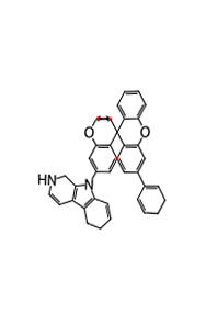 C1=CC(c2ccc3c(c2)Oc2ccccc2C32C3=CCCC=C3Oc3cc(-n4c5c(c6c4CNC=C6)CCC=C5)ccc32)=CCC1